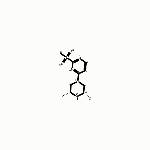 C[C@@H]1CN(c2ccnc(S(C)(=O)=O)n2)C[C@H](C)N1